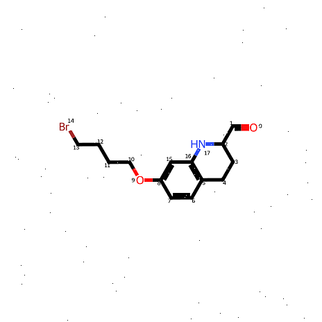 O=CC1CCc2ccc(OCCCCBr)cc2N1